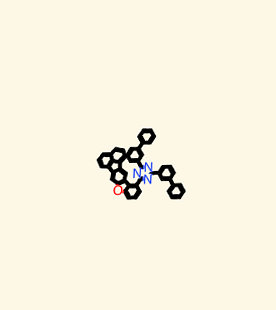 c1ccc(-c2cccc(-c3nc(-c4cccc(-c5ccccc5)c4)nc(-c4cccc5oc6cc7c(cc6c45)-c4cccc5cccc-7c45)n3)c2)cc1